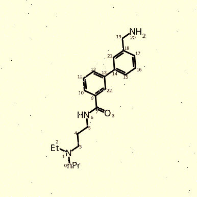 CCCN(CC)CCCNC(=O)c1cccc(-c2cccc(CN)c2)c1